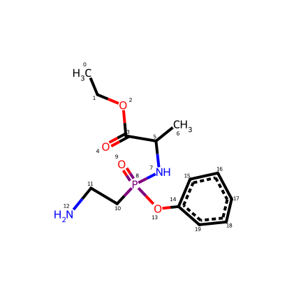 CCOC(=O)C(C)NP(=O)(CCN)Oc1ccccc1